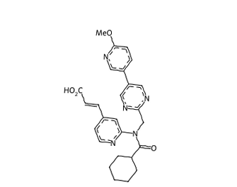 COc1ccc(-c2cnc(CN(C(=O)C3CCCCC3)c3cc(C=CC(=O)O)ccn3)nc2)cn1